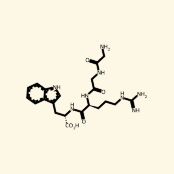 N=C(N)NCCC[C@H](NC(=O)CNC(=O)CN)C(=O)N[C@@H](Cc1c[nH]c2ccccc12)C(=O)O